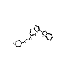 c1ccc2oc(-c3cnc4ccc(OCSC5CCOCC5)nn34)cc2c1